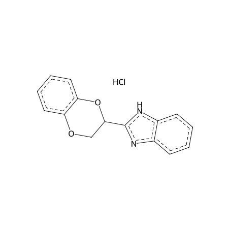 Cl.c1ccc2c(c1)OCC(c1nc3ccccc3[nH]1)O2